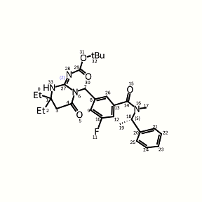 CCC1(CC)CC(=O)N(Cc2cc(F)cc(C(=O)N(C)[C@@H](C)c3ccccc3)c2)/C(=N\C(=O)OC(C)(C)C)N1